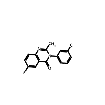 Cc1nc2ccc(F)cc2c(=O)n1-c1cccc(Cl)c1